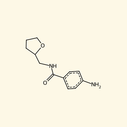 Nc1ccc(C(=O)NCC2CCCO2)cc1